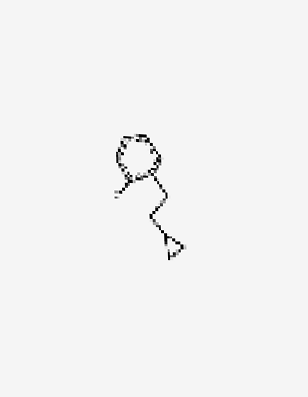 Fc1ccccc1[CH]CC1CC1